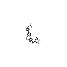 CN(c1nc2c(s1)-c1ccc(-c3cnn(CC(F)F)n3)cc1CO2)C1CC(C)(C)NC(C)(C)C1